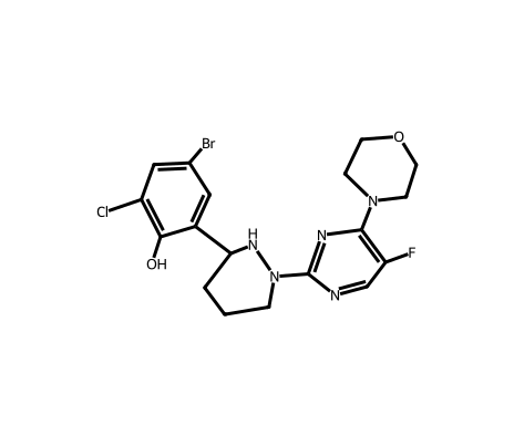 Oc1c(Cl)cc(Br)cc1C1CCCN(c2ncc(F)c(N3CCOCC3)n2)N1